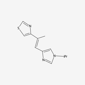 C/C(=C\c1cn(C(C)C)cn1)c1cscn1